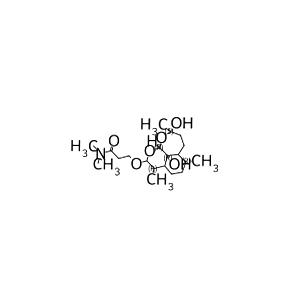 C[C@H]1C(OCCC(=O)N(C)C)O[C@@H]2O[C@](C)(O)CCC3[C@H](C)CCC1[C@]32O